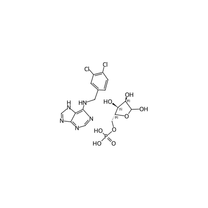 Clc1ccc(CNc2ncnc3nc[nH]c23)cc1Cl.O=P(O)(O)OC[C@H]1OC(O)[C@H](O)[C@@H]1O